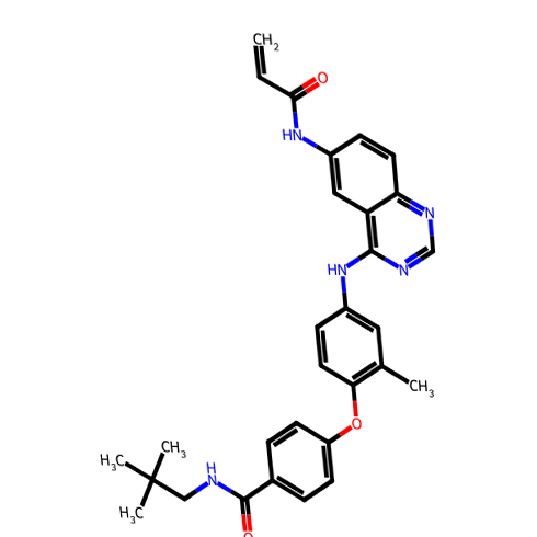 C=CC(=O)Nc1ccc2ncnc(Nc3ccc(Oc4ccc(C(=O)NCC(C)(C)C)cc4)c(C)c3)c2c1